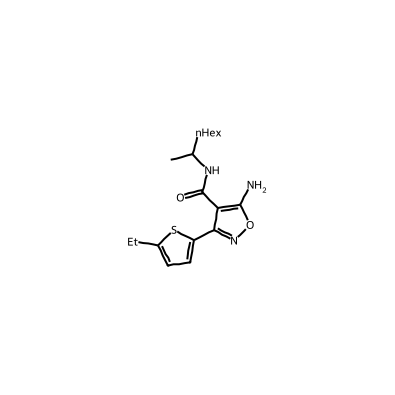 CCCCCCC(C)NC(=O)c1c(-c2ccc(CC)s2)noc1N